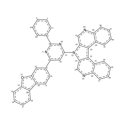 c1ccc(-c2nc(-c3ccc4c(c3)oc3ccccc34)cc(-n3c4cnc5ccccc5c4c4c5ccccc5ncc43)n2)cc1